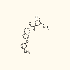 NCc1cc(NC(=O)C2CCc3ccc(Oc4ccnc(N)c4)cc3C2)cc(C(F)(F)F)c1